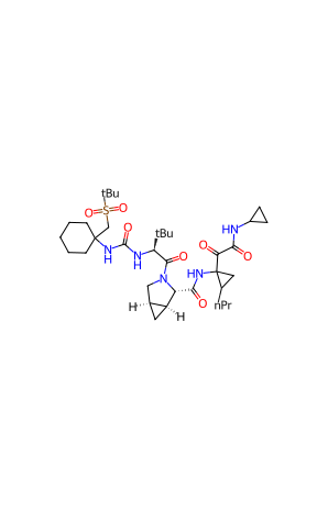 CCCC1CC1(NC(=O)[C@@H]1[C@H]2C[C@H]2CN1C(=O)[C@@H](NC(=O)NC1(CS(=O)(=O)C(C)(C)C)CCCCC1)C(C)(C)C)C(=O)C(=O)NC1CC1